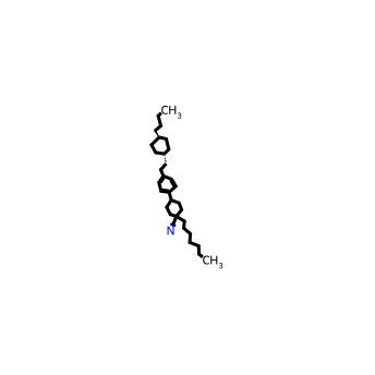 CCCCCCCC1(C#N)CCC(c2ccc(CC[C@H]3CC[C@H](CCCC)CC3)cc2)CC1